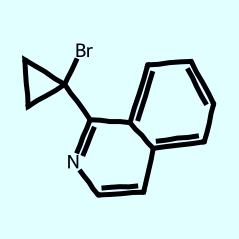 BrC1(c2nccc3ccccc23)CC1